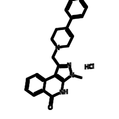 Cl.Cn1nc(CN2CC=C(c3ccccc3)CC2)c2c3ccccc3c(=O)[nH]c21